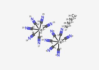 N#[C][Fe-3]([C]#N)([C]#N)([C]#N)([C]#N)[C]#N.N#[C][Fe-3]([C]#N)([C]#N)([C]#N)([C]#N)[C]#N.[Cu].[Ni+2].[Ni+2].[Ni+2]